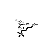 CCCCCCCCCCCCCC[N+](C)(C)C.CCCCCCCCN(CCCCCCCC)CCCCCCCC.[Cl-]